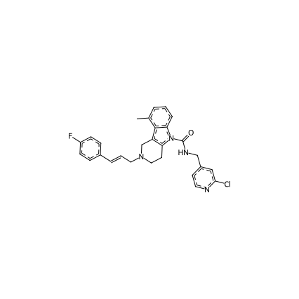 Cc1cccc2c1c1c(n2C(=O)NCc2ccnc(Cl)c2)CCN(CC=Cc2ccc(F)cc2)C1